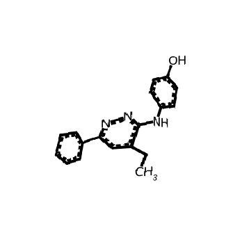 CCc1cc(-c2ccccc2)nnc1Nc1ccc(O)cc1